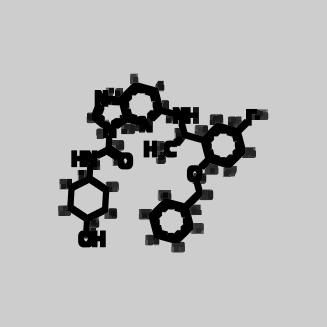 C[C@@H](Nc1ccc2ncn(C(=O)NC3CCC(O)CC3)c2n1)c1cc(F)ccc1OCc1ccccc1